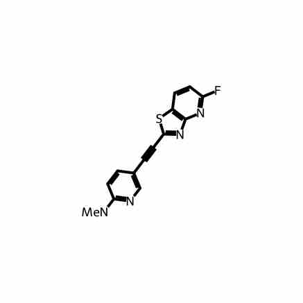 CNc1ccc(C#Cc2nc3nc(F)ccc3s2)cn1